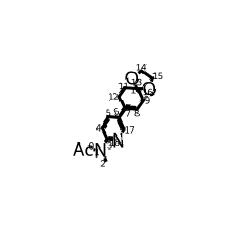 CC(=O)N(C)c1ccc(C2=CCC3(CC2)OCCO3)cn1